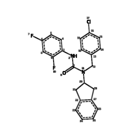 O=C(Nc1ccc(F)cc1F)N(Cc1ccc(Cl)cc1)C1Cc2ccccc2C1